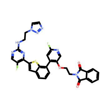 O=C1c2ccccc2C(=O)N1CCOc1cnc(F)cc1-c1cccc2cc(-c3nc(NCCn4ccnn4)ncc3F)sc12